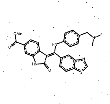 COC(=O)c1ccc2c(c1)NC(=O)C2=C(Nc1ccc(CN(C)C)cc1)c1ccc2scnc2c1